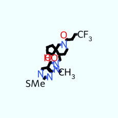 CSc1ncc2c(=O)n(CC3(O)CCN(C(=O)CCC(F)(F)F)CC34CCCC4)n(C)c2n1